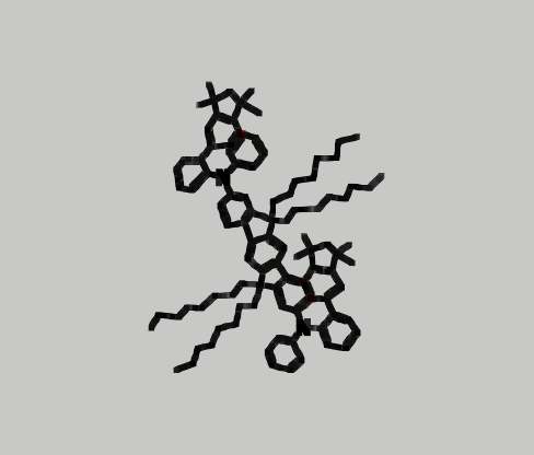 CCCCCCCCC1(CCCCCCCC)c2cc(N(c3ccccc3)c3ccccc3-c3ccc4c(c3)C(C)(C)CC4(C)C)ccc2-c2cc3c(cc21)-c1ccc(N(c2ccccc2)c2ccccc2-c2ccc4c(c2)C(C)(C)CC4(C)C)cc1C3(CCCCCCCC)CCCCCCCC